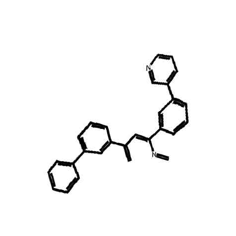 C=N/C(=C\C(=C)c1cccc(-c2ccccc2)c1)c1cccc(-c2cccnc2)c1